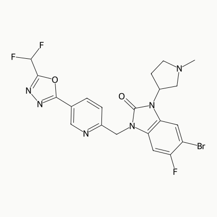 CN1CCC(n2c(=O)n(Cc3ccc(-c4nnc(C(F)F)o4)cn3)c3cc(F)c(Br)cc32)C1